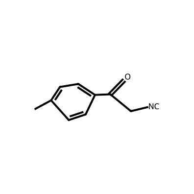 [C-]#[N+]CC(=O)c1ccc(C)cc1